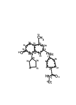 CCNC(=O)c1ccc(Nc2nc(C)c3ccc(=O)n(C4CCCC4)c3n2)cc1